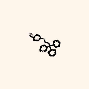 NCc1ccc(OCCC(c2ccccc2)(c2ccccc2)c2ccccc2)cc1